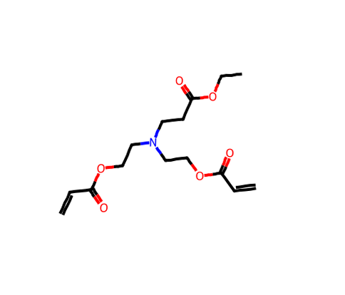 C=CC(=O)OCCN(CCOC(=O)C=C)CCC(=O)OCC